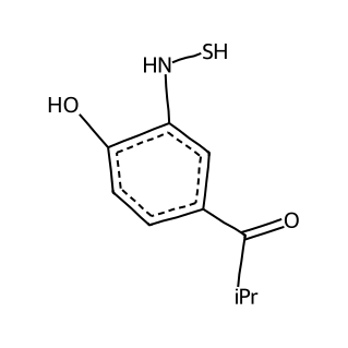 CC(C)C(=O)c1ccc(O)c(NS)c1